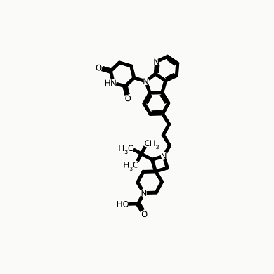 CC(C)(C)C1N(CCCc2ccc3c(c2)c2cccnc2n3C2CCC(=O)NC2=O)CC12CCN(C(=O)O)CC2